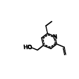 C=Cc1cc(CO)cc(CC)n1